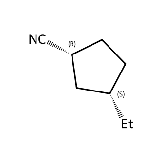 CC[C@H]1CC[C@@H](C#N)C1